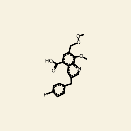 COOCc1cc(C(=O)O)c2cc(Cc3ccc(F)cc3)cnc2c1OC